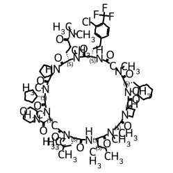 CC[C@H](C)[C@@H]1NC(=O)[C@H](CC(C)C)N(C)C(=O)C[C@@H](C(=O)N2CCOCC2)N(C)C(=O)[C@H](C2CCCC2)N(C)C(=O)C2(CCCC2)NC(=O)[C@H](CCC(=O)N(C)C)N(C)C(=O)[C@H](CCc2ccc(C(F)(F)F)c(Cl)c2)NC(=O)CN(C)C(=O)[C@H](CC2CCCCC2)N(C)C(=O)[C@@H]2CCN2C(=O)[C@H](C)N(C)C1=O